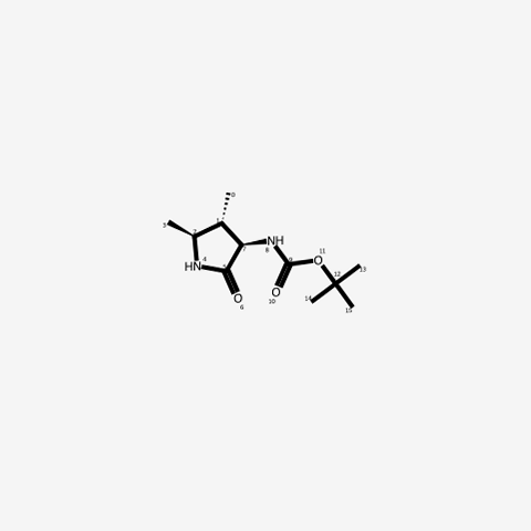 C[C@H]1[C@H](C)NC(=O)[C@@H]1NC(=O)OC(C)(C)C